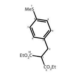 CCOC(=O)C(Cc1ccc(SC)cc1)C(=O)OCC